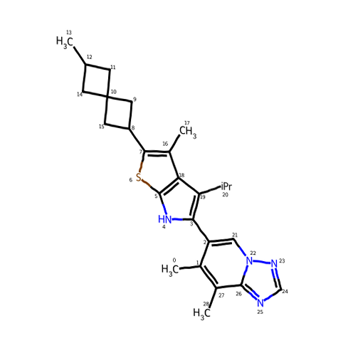 Cc1c(-c2[nH]c3sc(C4CC5(CC(C)C5)C4)c(C)c3c2C(C)C)cn2ncnc2c1C